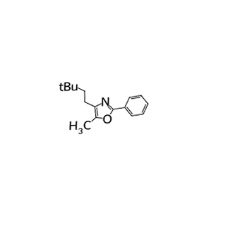 Cc1oc(-c2ccccc2)nc1CCC(C)(C)C